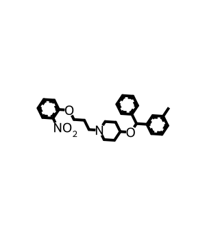 Cc1cccc(C(OC2CCN(CCCOc3ccccc3[N+](=O)[O-])CC2)c2ccccc2)c1